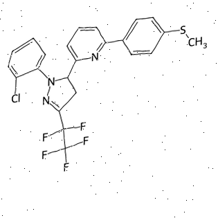 CSc1ccc(-c2cccc(C3CC(C(F)(F)C(F)(F)F)=NN3c3ccccc3Cl)n2)cc1